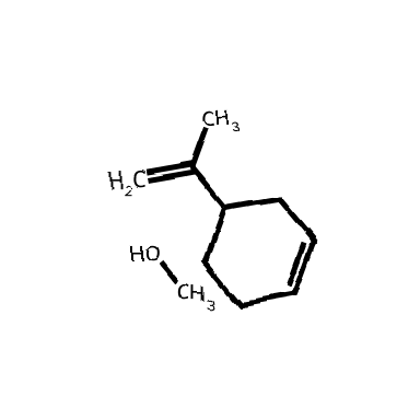 C=C(C)C1CC=CCC1.CO